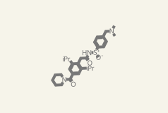 CC(C)c1cc(C(=O)N2CCCCC2)cc(C(C)C)c1CC(=O)N[S+]([O-])c1ccc(CN(C)C)cc1